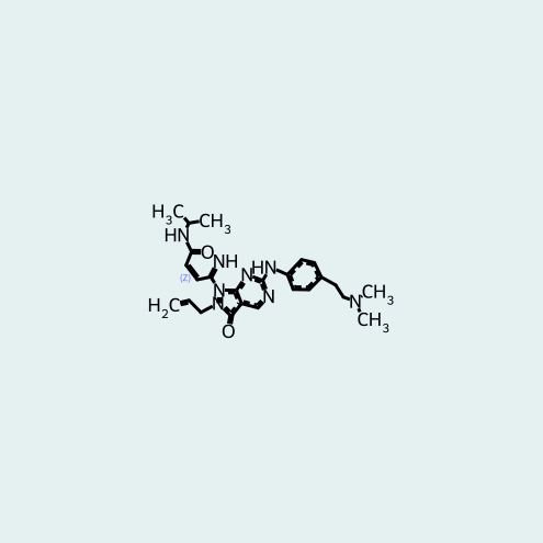 C=CCn1c(=O)c2cnc(Nc3ccc(CCN(C)C)cc3)nc2n1C(=N)/C=C\C(=O)NC(C)C